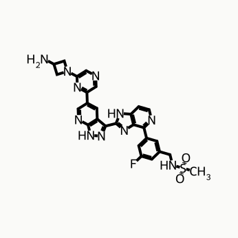 CS(=O)(=O)NCc1cc(F)cc(-c2nccc3[nH]c(-c4n[nH]c5ncc(-c6cncc(N7CC(N)C7)n6)cc45)nc23)c1